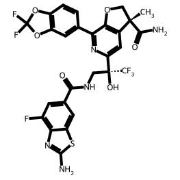 C[C@]1(C(N)=O)COc2c1cc([C@@](O)(CNC(=O)c1cc(F)c3nc(N)sc3c1)C(F)(F)F)nc2-c1ccc2c(c1)OC(F)(F)O2